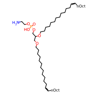 CCCCCCCC/C=C\CCCCCCCCCCCCOCC(COP(=O)(O)OCCN)OCCCCCCCCCCCC/C=C\CCCCCCCC